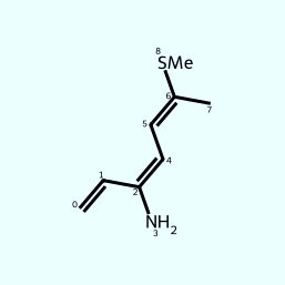 C=C/C(N)=C\C=C(/C)SC